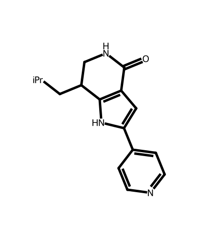 CC(C)CC1CNC(=O)c2cc(-c3ccncc3)[nH]c21